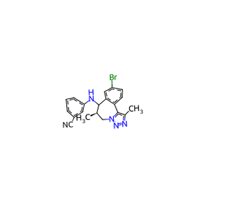 Cc1nnn2c1-c1ccc(Br)cc1C(Nc1cccc(C#N)c1)[C@H](C)C2